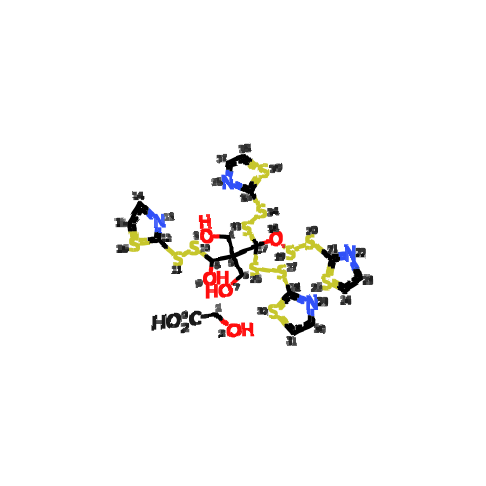 O=C(O)CO.OCC(CO)(C(O)SSc1nccs1)C(OSSc1nccs1)(SSc1nccs1)SSc1nccs1